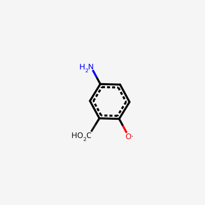 Nc1ccc([O])c(C(=O)O)c1